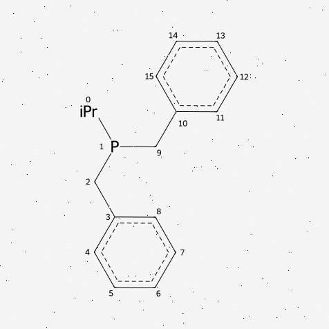 CC(C)P(Cc1ccccc1)Cc1ccccc1